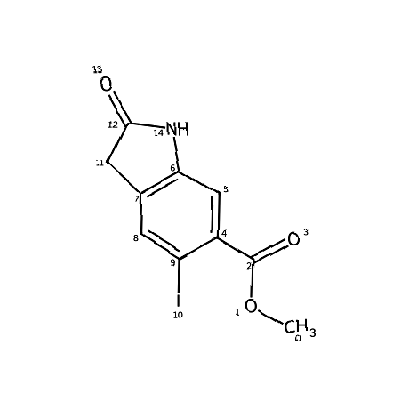 COC(=O)c1cc2c(cc1I)CC(=O)N2